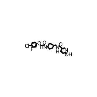 O=C(COc1ccc(Cl)c(F)c1)NC1CCC(CNC(=O)c2ccc(O)nc2)CC1